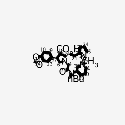 CCCCN(C(=O)CN1C[C@H](c2ccc3c(c2)OCO3)[C@@H](C(=O)O)[C@@H]1CCc1cccn1C)c1cccnc1